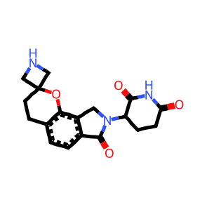 O=C1CCC(N2Cc3c(ccc4c3OC3(CC4)CNC3)C2=O)C(=O)N1